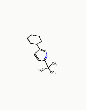 CC(C)(C)c1ccc(C2CCCCC2)cn1